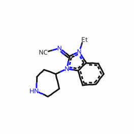 CCn1/c(=N/C#N)n(C2CCNCC2)c2ccccc21